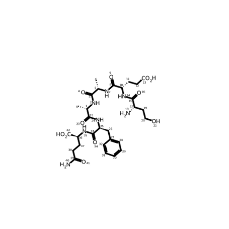 C[C@H](NC(=O)[C@H](C)NC(=O)[C@H](CCC(=O)O)NC(=O)[C@@H](N)CCO)C(=O)N[C@@H](Cc1ccccc1)C(=O)N[C@@H](CCC(N)=O)C(=O)O